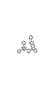 c1ccc(-c2nc(-c3ccccc3)nc(-c3cccc(-n4c5ccccc5c5cc6sc(-c7ccccc7)nc6cc54)c3)n2)cc1